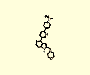 CB(O)N1CC=C(c2ccc(-c3nccc4[nH]c(CN5CCOCC5)cc34)cn2)CC1